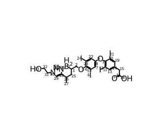 BC(COc1c(I)cc(Oc2c(I)cc(CC(=O)O)cc2I)cc1I)CC(C)c1cn(CCO)nn1